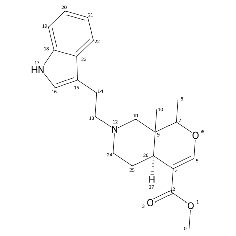 COC(=O)C1=COC(C)C2(C)CN(CCc3c[nH]c4ccccc34)CC[C@H]12